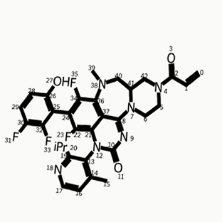 C=CC(=O)N1CCN2c3nc(=O)n(-c4c(C)ccnc4C(C)C)c4c(F)c(-c5c(O)ccc(F)c5F)c(F)c(c34)N(C)CC2C1